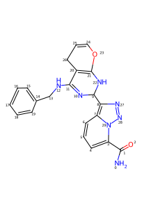 NC(=O)c1cccc2c(C3N=C(NCc4ccccc4)C4=C(N3)OC=CC4)nnn12